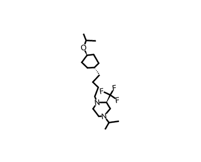 CC(C)O[C@H]1CC[C@H](CCCCN2CCN(C(C)C)C[C@@H]2C(F)(F)F)CC1